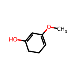 COC1=CC[CH]C(O)=[C]1